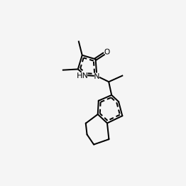 Cc1[nH]n(C(C)c2ccc3c(c2)CCCC3)c(=O)c1C